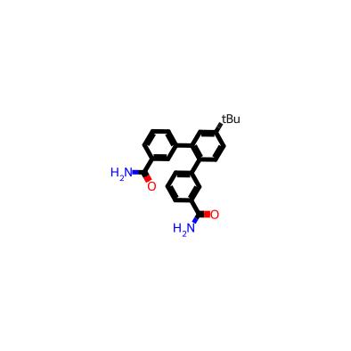 CC(C)(C)c1ccc(-c2cccc(C(N)=O)c2)c(-c2cccc(C(N)=O)c2)c1